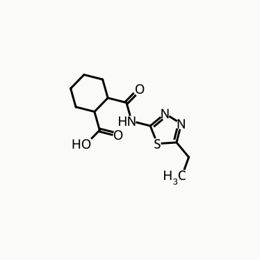 CCc1nnc(NC(=O)C2CCCCC2C(=O)O)s1